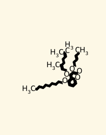 CCC=CCCOc1c(OCC=C(C)CCC=C(C)C)c2c(OCCCCCCCCCC)cccc2oc1=O